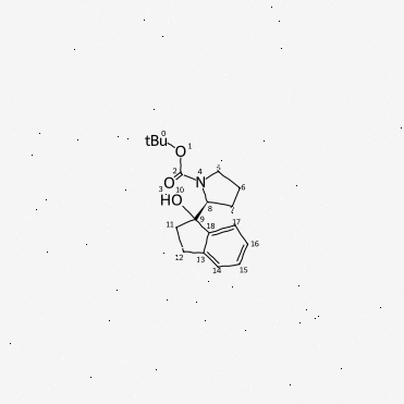 CC(C)(C)OC(=O)N1CCC[C@H]1C1(O)CCc2ccccc21